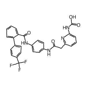 O=C(O)Nc1cccc(CC(=O)Nc2ccc(NC(=O)c3ccccc3-c3ccc(C(F)(F)F)cc3)cc2)n1